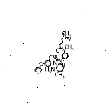 CC1=C=CN=c2c(n(-c3ccc(Oc4ccccc4)cc3C)c(=O)n2-c2cccc(N(C)C(=O)/C=C/CN(C)C3CC3)c2)=C1N